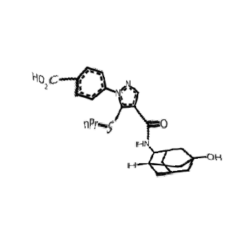 CCCSc1c(C(=O)NC2C3CC4C[C@H]2CC(O)(C4)C3)cnn1-c1ccc(C(=O)O)cc1